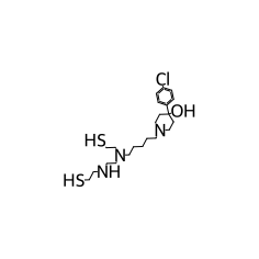 OC1(c2ccc(Cl)cc2)CCN(CCCCCN(CCS)CCNCCS)CC1